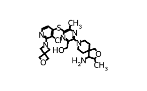 Cc1nc(N2CCC3(CC2)COC(C)C3N)c(CO)nc1Sc1ccnc(N2CC3(COC3)C2)c1Cl